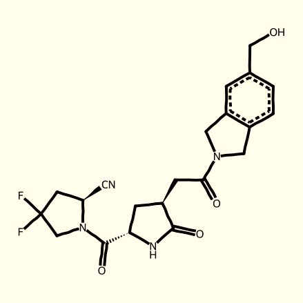 N#C[C@@H]1CC(F)(F)CN1C(=O)[C@@H]1C[C@@H](CC(=O)N2Cc3ccc(CO)cc3C2)C(=O)N1